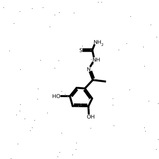 CC(=NNC(N)=S)c1cc(O)cc(O)c1